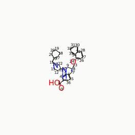 O=C(O)c1ccc(/C=C(\CNC2CCN(CC3CCCCC3)C2)COc2cccc3ccccc23)cc1